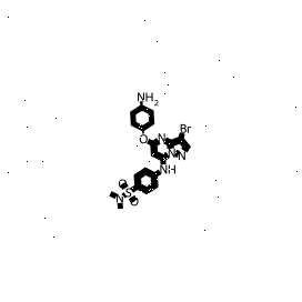 CN(C)S(=O)(=O)c1ccc(Nc2cc(O[C@H]3CC[C@H](N)CC3)nc3c(Br)cnn23)cc1